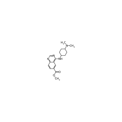 COC(=O)c1ccc2ncnc(NC3CCC(N(C)C)CC3)c2c1